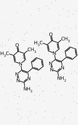 Cc1cn(-c2nnc(N)nc2-c2ccccc2)cc(C)c1=O.Cc1cn(-c2nnc(N)nc2-c2ccccc2)cc(C)c1=O